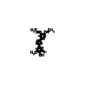 CCOc1ccc(-c2nc(-c3cc(C)c(O)c(I)c3)no2)cc1OCC